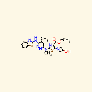 CCOC(=O)c1nc(N(C)c2cc(C)c(Nc3nc4ccccc4s3)nn2)sc1N1CC(O)C1